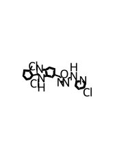 Clc1ccc(Nc2nnc(-c3ccc4nc(-c5c(Cl)cccc5Cl)[nH]c4c3)o2)nc1